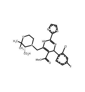 COC(=O)C1=C(CN2CCOC(C)(C)[C@H]2C(=O)O)NC(c2nccs2)=NC1c1ccc(F)cc1Cl